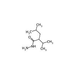 CC(C)CC(C(=O)NN)C(C)C